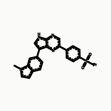 CC(C)S(=O)(=O)c1ccc(-c2cnc3[nH]cc(-c4ccc5ccn(C)c5c4)c3n2)cc1